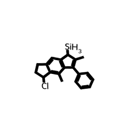 CC1=C(c2ccccc2)c2c(cc3c(c2C)C(Cl)CC3)C1[SiH3]